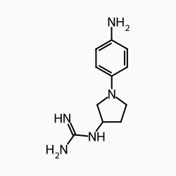 N=C(N)NC1CCN(c2ccc(N)cc2)C1